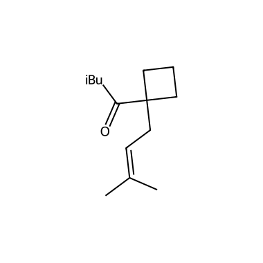 CCC(C)C(=O)C1(CC=C(C)C)CCC1